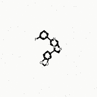 Fc1cccc(-c2cn3c(-c4ccc5c(c4)OCO5)cnc3cn2)c1